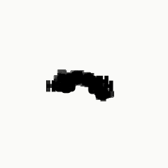 Cc1cccc(NC(=O)Nc2ccc(-c3ccc4c(c3)C(=O)N([C@H](C(=O)O)C(C)C)C4)cc2)c1